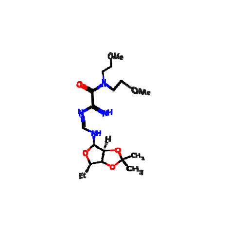 CC[C@H]1O[C@@H](N/C=N\C(=N)C(=O)N(CCOC)CCOC)[C@H]2OC(C)(C)OC12